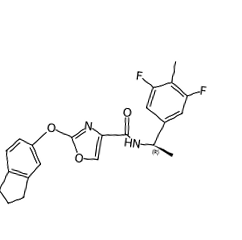 Cc1c(F)cc([C@@H](C)NC(=O)c2coc(Oc3ccc4c(c3)CCC4)n2)cc1F